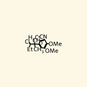 CC#N.CCC(Cl)C(C)(C)c1ccc(OC)c(OC)c1